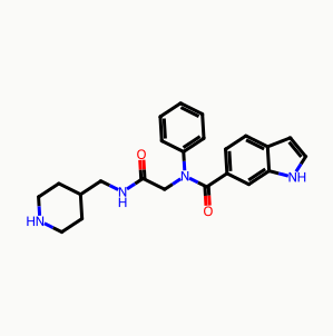 O=C(CN(C(=O)c1ccc2cc[nH]c2c1)c1ccccc1)NCC1CCNCC1